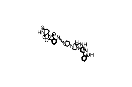 CN(CCN1CCC(N2CCN3c4cc(-c5ccccc5O)nnc4NC[C@H]3C2)CC1)c1cccc2c1C(=O)N(C1CCC(=O)NC1=O)C2=O